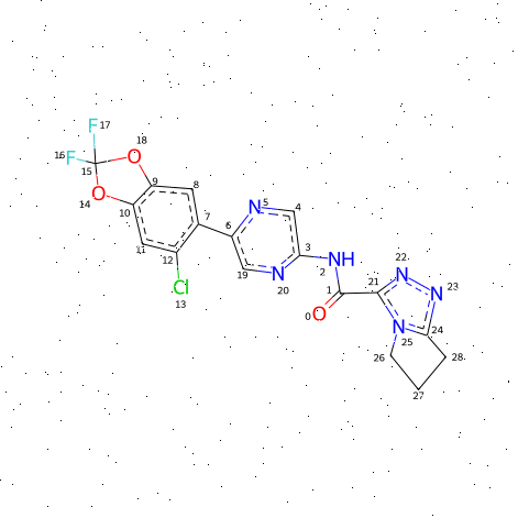 O=C(Nc1cnc(-c2cc3c(cc2Cl)OC(F)(F)O3)cn1)c1nnc2n1CCC2